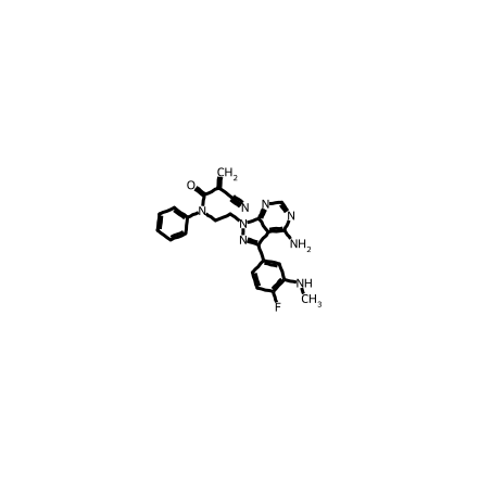 C=C(C#N)C(=O)N(CCn1nc(-c2ccc(F)c(NC)c2)c2c(N)ncnc21)c1ccccc1